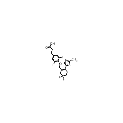 Cc1ncc(C2=C(COc3c(F)cc(CCC(=O)O)cc3F)CC(F)(F)CC2)s1